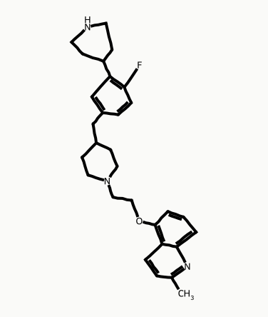 Cc1ccc2c(OCCN3CCC(Cc4ccc(F)c(C5CCNCC5)c4)CC3)cccc2n1